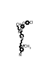 CCCCc1nc(C2CCN(CCCCc3cc4cc(C#N)ccc4n3CC)CC2)cn1-c1ccc(Oc2ccc(Cl)cc2)cc1